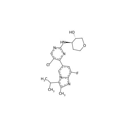 Cc1nc2c(F)cc(-c3nc(N[C@@H]4CCOC[C@H]4O)ncc3Cl)cn2c1C(C)C